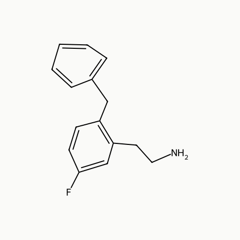 NCCc1cc(F)ccc1Cc1ccccc1